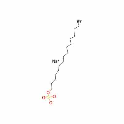 CC(C)CCCCCCCCCCCCCCCOS(=O)(=O)[O-].[Na+]